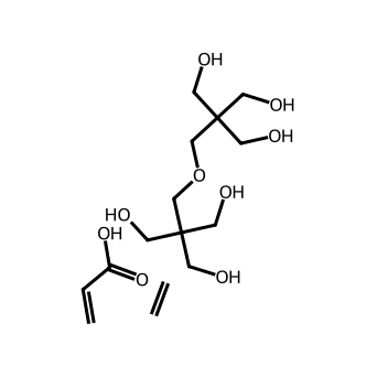 C=C.C=CC(=O)O.OCC(CO)(CO)COCC(CO)(CO)CO